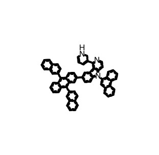 C1=CNCC(c2nccc3c2c2cc(-c4ccc5c(-c6ccc7ccccc7c6)c6ccccc6c(-c6ccc7ccccc7c6)c5c4)ccc2n3-c2cc3ccccc3c3ccccc23)=C1